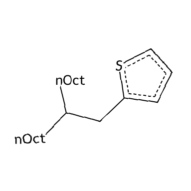 CCCCCCCCC(CCCCCCCC)Cc1cccs1